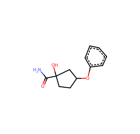 NC(=O)C1(O)CCC(Oc2ccccc2)C1